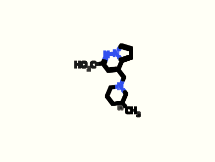 C[C@H]1CCCN(Cc2cc(C(=O)O)nn3cccc23)C1